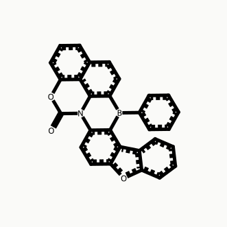 O=C1Oc2cccc3ccc4c(c23)N1c1ccc2oc3ccccc3c2c1B4c1ccccc1